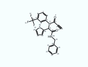 C#CC(=O)N(c1cccc(C(F)(F)F)c1)C(C(=O)NCc1ccccc1)c1cccs1